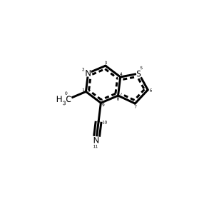 Cc1ncc2sccc2c1C#N